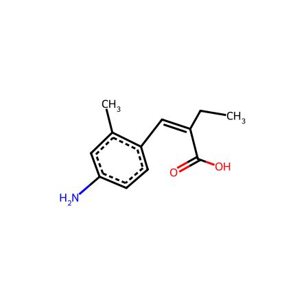 CCC(=Cc1ccc(N)cc1C)C(=O)O